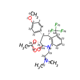 COc1ccc([C@@H]2Cc3c(cccc3C(F)(F)F)N(CCN(C)C)C(=O)[C@@H]2OC(C)=O)cc1